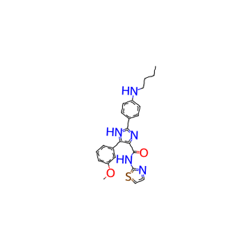 CCCCNc1ccc(-c2nc(C(=O)Nc3nccs3)c(-c3cccc(OC)c3)[nH]2)cc1